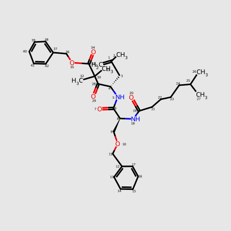 C=C(C)C[C@H](NC(=O)[C@H](COCc1ccccc1)NC(=O)CCCCC(C)C)C(=O)C(C)(C)C(=O)OCc1ccccc1